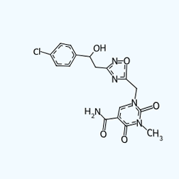 Cn1c(=O)c(C(N)=O)cn(Cc2nc(CC(O)c3ccc(Cl)cc3)no2)c1=O